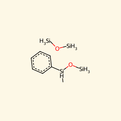 C[SiH](O[SiH3])c1ccccc1.[SiH3]O[SiH3]